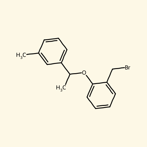 Cc1cccc(C(C)Oc2ccccc2CBr)c1